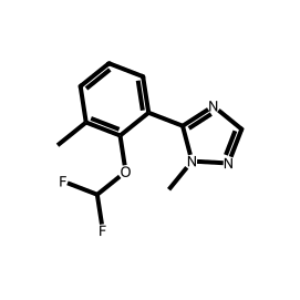 Cc1cccc(-c2ncnn2C)c1OC(F)F